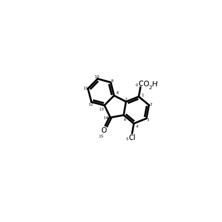 O=C(O)c1ccc(Cl)c2c1-c1ccccc1C2=O